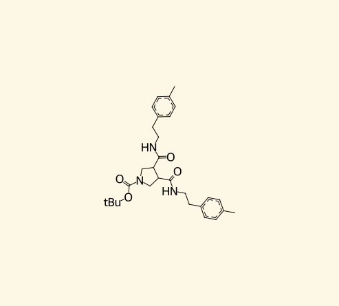 Cc1ccc(CCNC(=O)C2CN(C(=O)OC(C)(C)C)CC2C(=O)NCCc2ccc(C)cc2)cc1